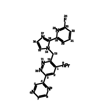 CCCc1cc(-c2cnccn2)nnc1Cn1ccnc1-c1cccc(F)n1